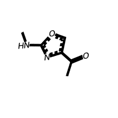 CNc1nc(C(C)=O)co1